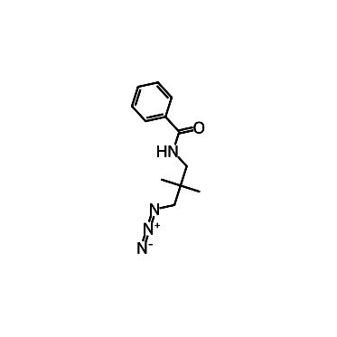 CC(C)(CN=[N+]=[N-])CNC(=O)c1ccccc1